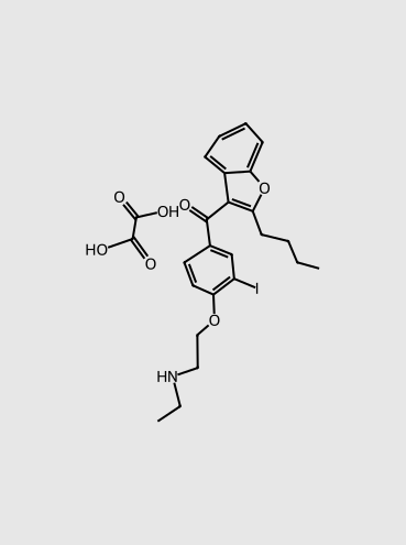 CCCCc1oc2ccccc2c1C(=O)c1ccc(OCCNCC)c(I)c1.O=C(O)C(=O)O